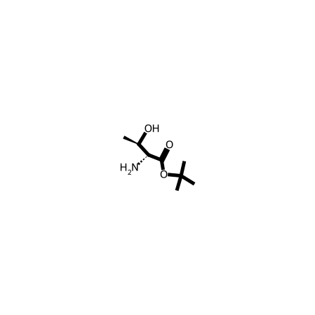 C[C@@H](O)[C@@H](N)C(=O)OC(C)(C)C